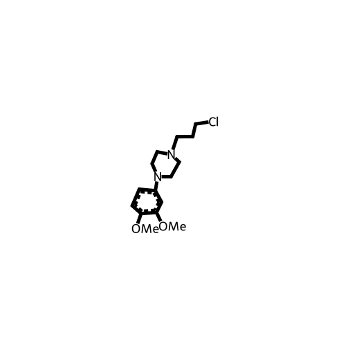 COc1ccc(N2CCN(CCCCl)CC2)cc1OC